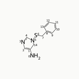 NC1=CN=CN(SCc2ccccc2)C1